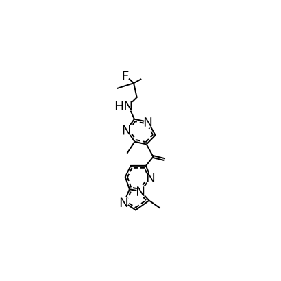 C=C(c1ccc2ncc(C)n2n1)c1cnc(NCC(C)(C)F)nc1C